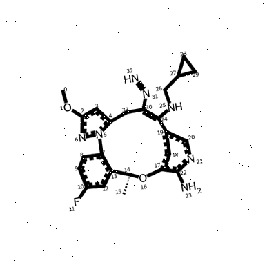 COc1cc2n(n1)-c1ccc(F)cc1[C@@H](C)Oc1cc(cnc1N)/C(NCC1CC1)=C(/N=N)C2